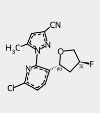 Cc1cc(C#N)nn1-c1nc(Cl)ccc1[C@H]1C[C@H](F)CO1